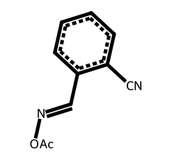 CC(=O)O/N=C/c1ccccc1C#N